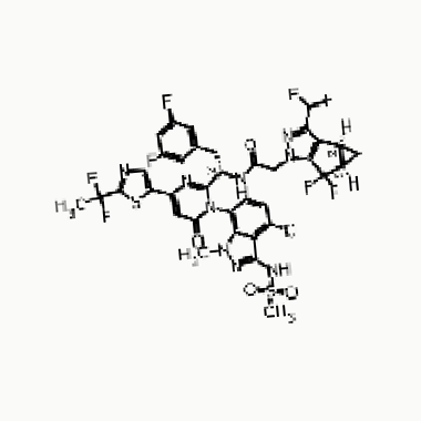 Cn1nc(NS(C)(=O)=O)c2c(Cl)ccc(-n3c([C@H](Cc4cc(F)cc(F)c4)NC(=O)Cn4nc(C(F)F)c5c4C(F)(F)[C@@H]4C[C@H]54)nc(-c4cnc(C(C)(F)F)s4)cc3=O)c21